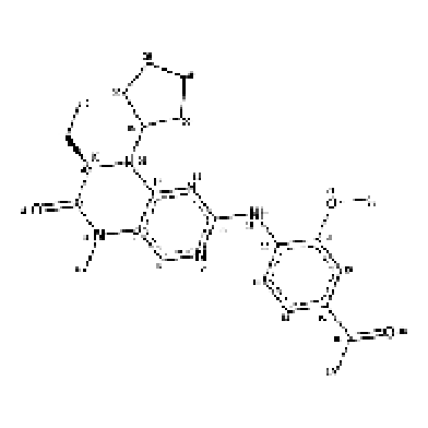 CC[C@@H]1C(=O)N(C)c2cnc(Nc3ccc(C(C)=O)cc3OC)nc2N1C1CCCC1